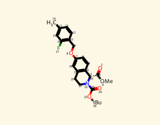 COC(=O)[C@H]1c2ccc(OCc3ccc(C)cc3F)cc2CCN1C(=O)OC(C)(C)C